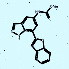 COC(=S)Nc1cc(-c2cc3ccccc3s2)c2[nH]ncc2c1